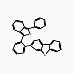 c1ccc(-c2oc(-c3ccccc3-c3ccc4c(c3)oc3ccccc34)c3ccccc23)cc1